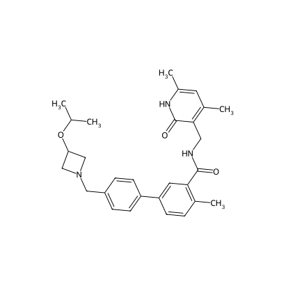 Cc1cc(C)c(CNC(=O)c2cc(-c3ccc(CN4CC(OC(C)C)C4)cc3)ccc2C)c(=O)[nH]1